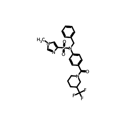 Cn1cnc(S(=O)(=O)N(Cc2ccccc2)c2ccc(C(=O)N3CCCC(C(F)(F)F)C3)cc2)c1